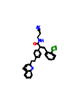 N#CCCNC(=O)/C(=C/c1ccccc1Cl)c1ccc(CCc2ccc3ccccc3n2)cc1